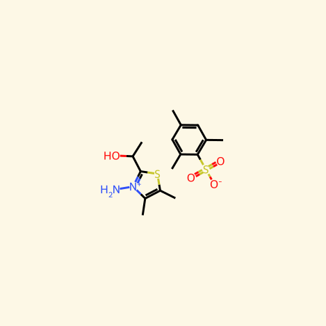 Cc1cc(C)c(S(=O)(=O)[O-])c(C)c1.Cc1sc(C(C)O)[n+](N)c1C